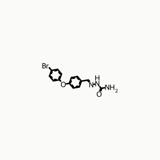 NC(=O)NN=Cc1ccc(Oc2ccc(Br)cc2)cc1